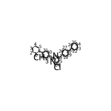 CC1C=CC=CC1c1ccc(-c2nc(Cl)cc(-c3ccc(-c4ccccc4)cc3)n2)cc1